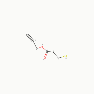 C#CCOC(=O)CCS